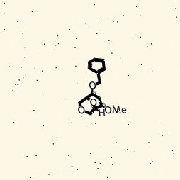 CO[C@@H]1C[C@H](OCc2ccccc2)C2COC[C@@H]1O2